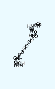 O=C(NCCOCCOCCOCCOCCOCCOCCNC(=O)c1ccc(F)c(B(O)O)c1)c1cccc(-c2cc(Nc3ccc(OC(F)(F)F)cc3)ncn2)c1